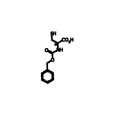 O=C(N[C@@H](CS)C(=O)O)OCc1ccccc1